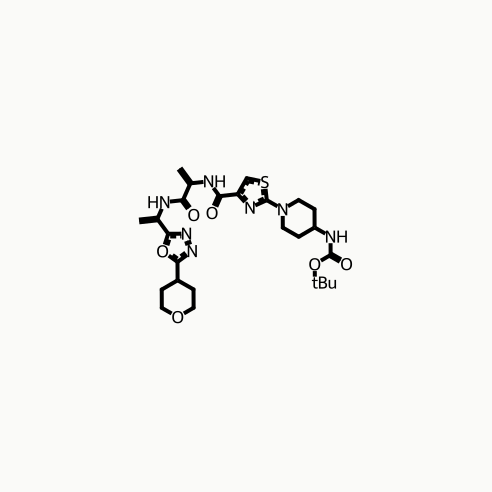 C=C(NC(=O)c1csc(N2CCC(NC(=O)OC(C)(C)C)CC2)n1)C(=O)NC(=C)c1nnc(C2CCOCC2)o1